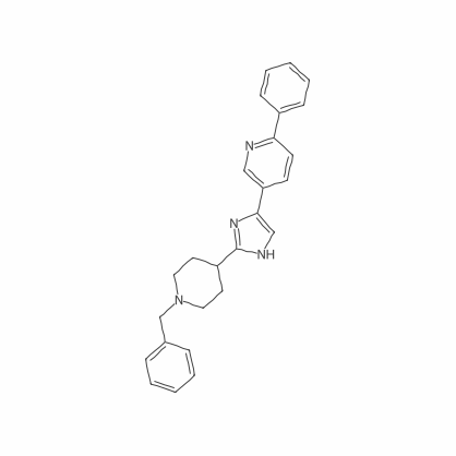 c1ccc(CN2CCC(c3nc(-c4ccc(-c5ccccc5)nc4)c[nH]3)CC2)cc1